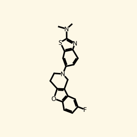 CN(C)c1nc2ccc(N3CCc4oc5ccc(F)cc5c4C3)cc2s1